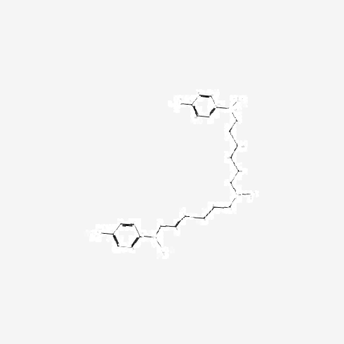 CCN(CCCCCCN(CC)c1ccc(N)cc1)CCCCCCN(CC)c1ccc(N)cc1